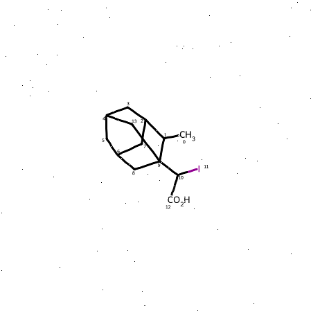 CC1C2CC3CC(C2)CC1(C(I)C(=O)O)C3